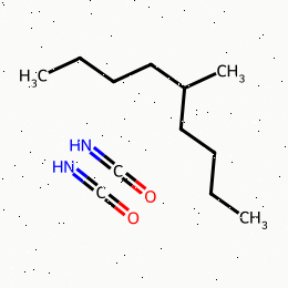 CCCCC(C)CCCC.N=C=O.N=C=O